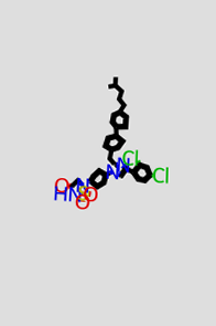 CC(C)CCCc1ccc(-c2ccc(Cc3nc(-c4ccc(Cl)cc4Cl)cn3-c3ccc(N4CC(=O)NS4(=O)=O)cc3)cc2)cc1